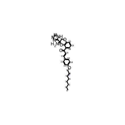 CCCCC/C=C/COc1ccc(C=CC(=O)c2cccc3c2OC(N)(c2nnn[nH]2)CO3)cc1